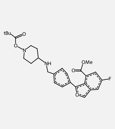 COC(=O)c1cc(F)cc2coc(-c3ccc(CNC4CCN(OC(=O)C(C)(C)C)CC4)cc3)c12